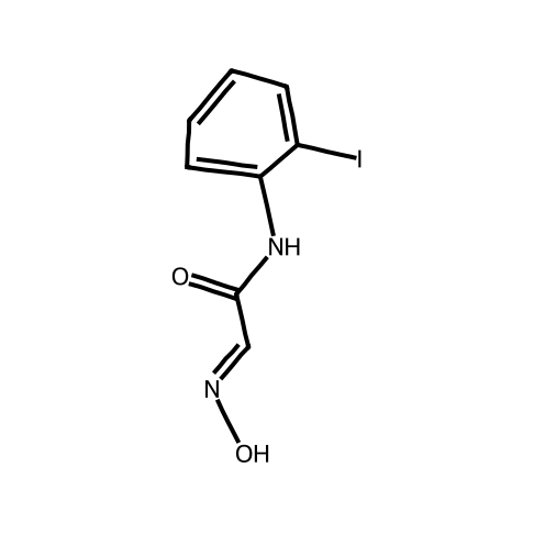 O=C(/C=N/O)Nc1ccccc1I